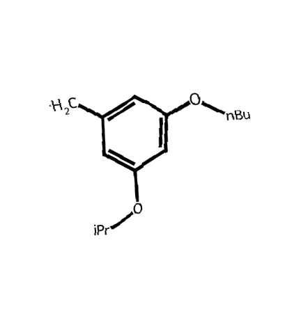 [CH2]c1cc(OCCCC)cc(OC(C)C)c1